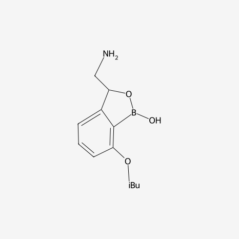 CCC(C)Oc1cccc2c1B(O)OC2CN